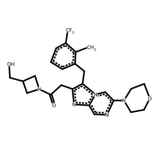 Cc1c(Cc2c(CC(=O)N3CC(CO)C3)nc3cnc(N4CCOCC4)cn23)cccc1C(F)(F)F